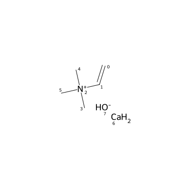 C=C[N+](C)(C)C.[CaH2].[OH-]